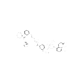 COc1cc(C(=O)NCCCCc2cccc(C3(C(=O)O[C@H]4CN5CCC4CC5)CCCCC3)c2)c(Cl)cc1CNC[C@@H](O[Si](C)(C)C(C)(C)C)c1ccc(O)c2[nH]c(=O)ccc12